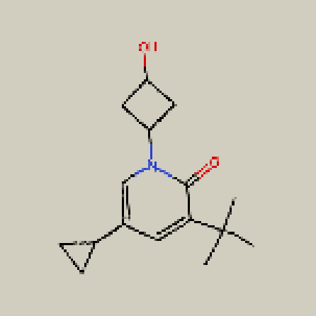 CC(C)(C)c1cc(C2CC2)cn(C2CC(O)C2)c1=O